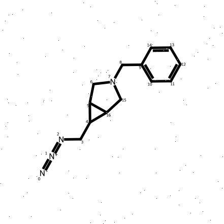 [N-]=[N+]=NCC1C2CN(Cc3ccccc3)CC12